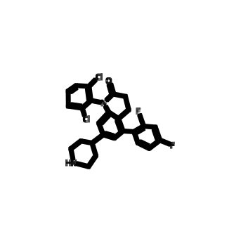 O=C1CCc2c(-c3ccc(F)cc3F)cc(C3CCNCC3)cc2N1c1c(Cl)cccc1Cl